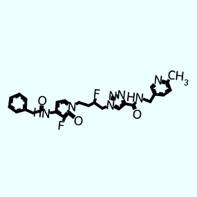 Cc1ccc(CNC(=O)c2cn(CC(F)CCn3ccc(NC(=O)Cc4ccccc4)c(F)c3=O)nn2)cn1